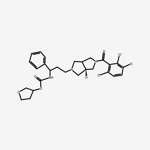 O=C(NC(CCN1CC2CN(C(=O)c3c(Cl)ccc(Cl)c3Cl)C[C@@H]2C1)c1ccccc1)OC1CCOC1